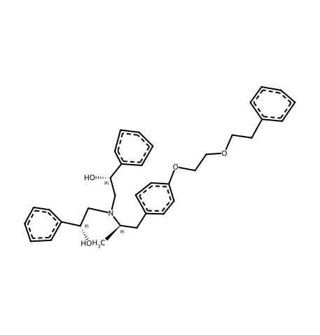 C[C@H](Cc1ccc(OCCOCCc2ccccc2)cc1)N(C[C@H](O)c1ccccc1)C[C@H](O)c1ccccc1